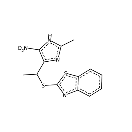 Cc1nc(C(C)Sc2nc3ccccc3s2)c([N+](=O)[O-])[nH]1